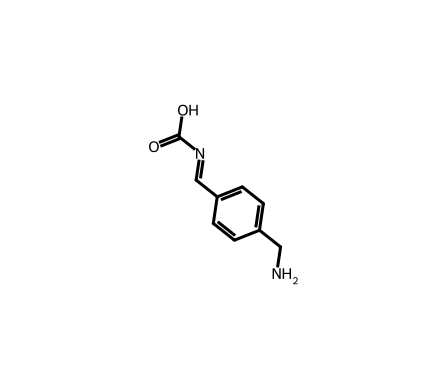 NCc1ccc(C=NC(=O)O)cc1